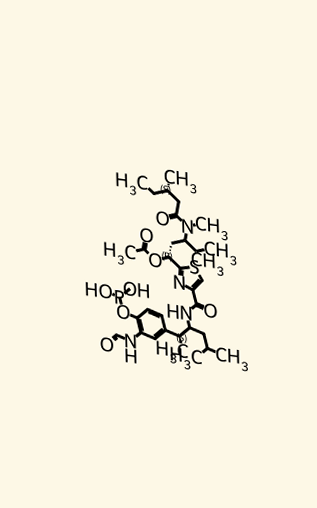 CC[C@H](C)CC(=O)N(C)C(C[C@@H](OC(C)=O)c1nc(C(=O)NC(CC(C)C)[C@@H](C)c2ccc(OP(O)O)c(NC=O)c2)cs1)C(C)C